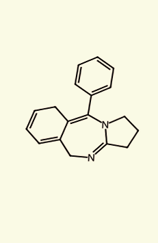 C1=CCC2=C(c3ccccc3)N3CCCC3=NCC2=C1